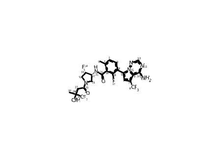 Cc1ccc(-c2cc(C(F)(F)F)c3c(N)ncnn23)c(F)c1C(=O)N[C@@H]1CN(C(=O)CC(C)(O)C(F)(F)F)C[C@@H]1F